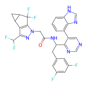 O=C(Cn1nc(C(F)F)c2c1C(F)(F)C1CC21)NC(Cc1cc(F)cc(F)c1)c1ncncc1-c1cccc2[nH]cnc12